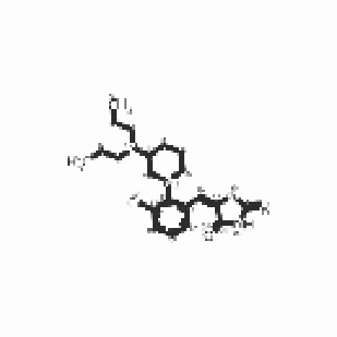 CCCN(CCC)C1CCCN(c2c(Cl)cccc2C=C2SC(=O)NC2=O)C1